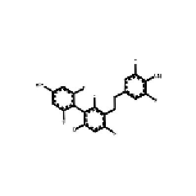 CCCc1cc(F)c(-c2c([O])cc(F)c(CCc3cc(F)c(C#N)c(F)c3)c2F)c(F)c1